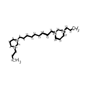 CCCN1CCCN(CCCCCCCCCN2CCCN(CCC)C2)C1